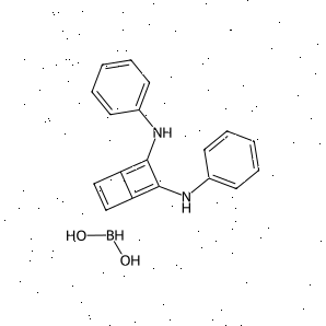 OBO.c1ccc(Nc2c3ccc-3c2Nc2ccccc2)cc1